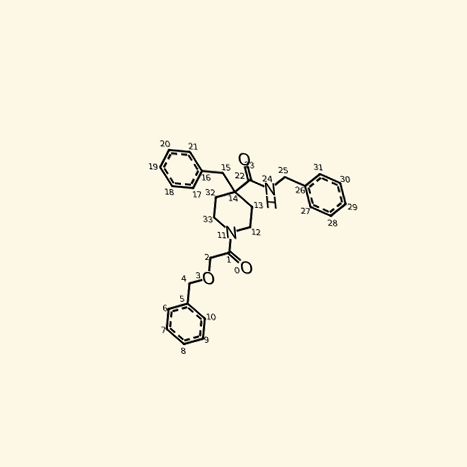 O=C(COCc1ccccc1)N1CCC(Cc2ccccc2)(C(=O)NCc2ccccc2)CC1